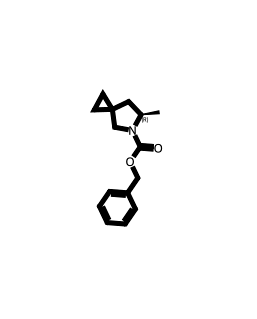 C[C@@H]1CC2(CC2)CN1C(=O)OCc1ccccc1